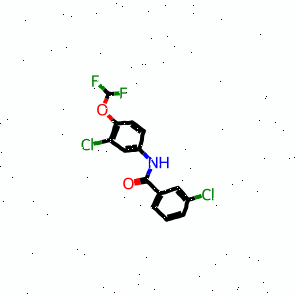 O=C(Nc1ccc(OC(F)F)c(Cl)c1)c1cccc(Cl)c1